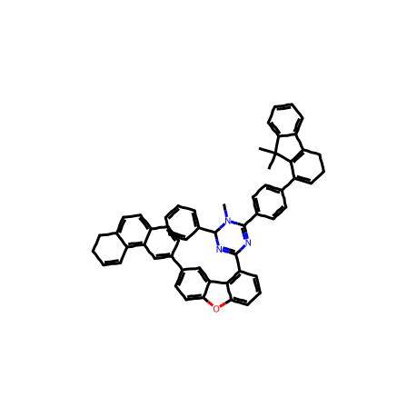 CN1C(c2ccc(C3=CCCC4=C3C(C)(C)c3ccccc34)cc2)=NC(c2cccc3oc4ccc(-c5ccc6ccc7c(c6c5)C=CCC7)cc4c23)=NC1c1ccccc1